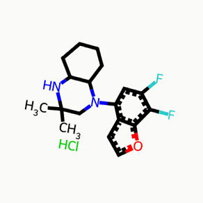 CC1(C)CN(c2cc(F)c(F)c3occc23)C2CCCCC2N1.Cl